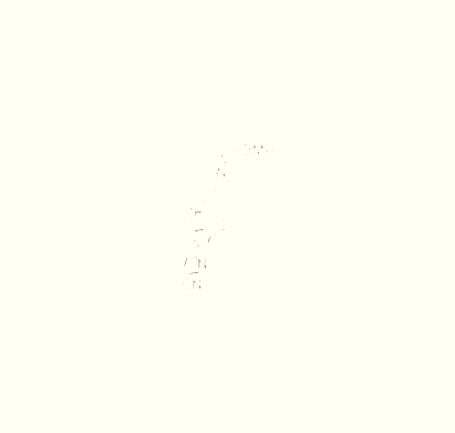 COCCC(=O)N1CCC(C2CC(=O)C(c3c(C)cc(-c4ccc(C#N)cn4)cc3C)C(=O)C2)CC1